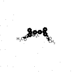 C=CC(=O)OCc1ccc2c(c1)c1ccccc1n2-c1ccc(-c2ccc(-n3c4ccccc4c4cc(COC(=O)C=C)ccc43)c(OC)c2)c(C)c1